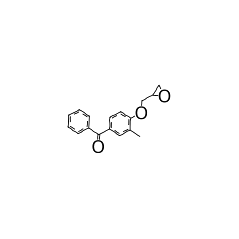 Cc1cc(C(=O)c2ccccc2)ccc1OCC1CO1